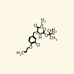 C=CCOc1ccc(C[C@H](NC(=O)OC(C)(C)C)C(=O)OC)cc1Cl